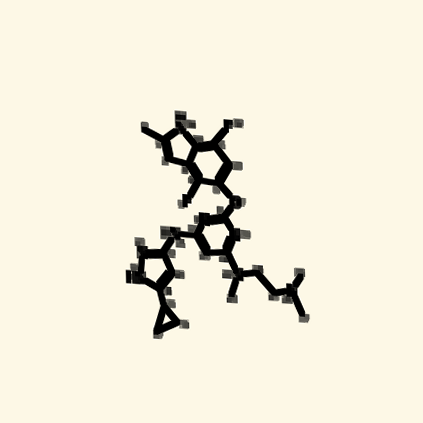 Cc1cc2c(F)c(Oc3nc(Nc4cc(C5CC5)[nH]n4)cc(N(C)CCN(C)C)n3)cc(F)c2[nH]1